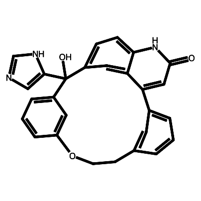 O=c1cc2c3cc(ccc3[nH]1)C(O)(c1cnc[nH]1)c1cccc(c1)OCCc1cccc-2c1